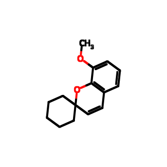 COc1cccc2c1OC1(C=C2)CCCCC1